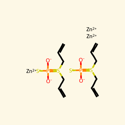 C=CCS(CC=C)=P([O-])([O-])[S-].C=CCS(CC=C)=P([O-])([O-])[S-].[Zn+2].[Zn+2].[Zn+2]